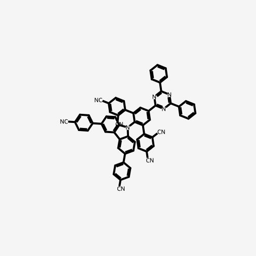 N#Cc1ccc(-c2ccc3c(c2)c2cc(-c4ccc(C#N)cc4)ccc2n3-c2c(-c3ccc(C#N)cc3C#N)cc(-c3nc(-c4ccccc4)nc(-c4ccccc4)n3)cc2-c2ccc(C#N)cc2C#N)cc1